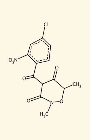 CC1ON(C)C(=O)C(C(=O)c2ccc(Cl)cc2[N+](=O)[O-])C1=O